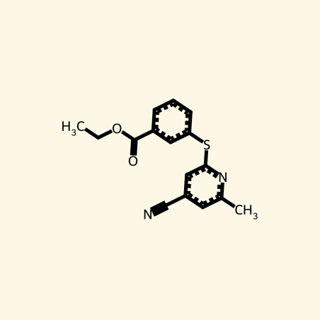 CCOC(=O)c1cccc(Sc2cc(C#N)cc(C)n2)c1